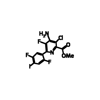 COC(=O)c1nc(-c2cc(F)c(I)cc2F)c(F)c(N)c1Cl